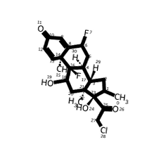 CC1C[C@H]2[C@@H]3CC(F)C4=CC(=O)C=C[C@]4(C)[C@@]3(F)C(O)C[C@]2(C)[C@@]1(O)C(=O)CCl